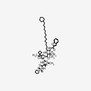 C=C[C@@H]1C[C@]1(NC(=O)[C@@H]1C[C@@]2(CN1C(=O)[C@@H](NC(CCCCCCCCCCCCCCC1CCCCC1)CNC(=O)c1cc3ccccc3o1)C(C)(C)C)C(C)(C)C21CCC1)C(=O)NS(=O)(=O)N1CCCC1